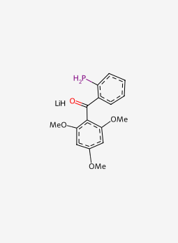 COc1cc(OC)c(C(=O)c2ccccc2P)c(OC)c1.[LiH]